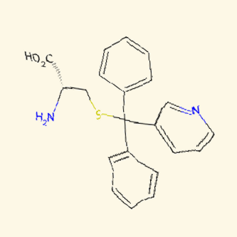 N[C@@H](CSC(c1ccccc1)(c1ccccc1)c1cccnc1)C(=O)O